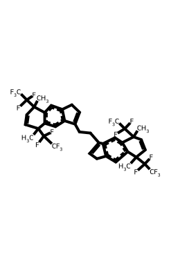 CC1(C(F)(F)C(F)(F)F)C=CC(C)(C(F)(F)C(F)(F)F)c2cc3c(cc21)CC=C3CCC1=CCc2cc3c(cc21)C(C)(C(F)(F)C(F)(F)F)C=CC3(C)C(F)(F)C(F)(F)F